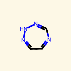 C1=NC=NNN=C1